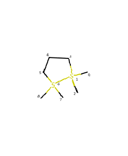 CS1(C)CCCS1(C)C